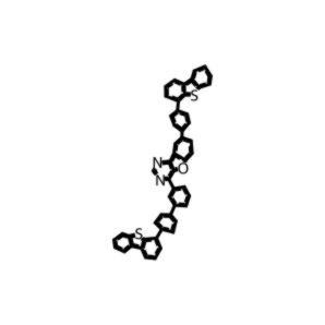 c1cc(-c2ccc(-c3cccc4c3sc3ccccc34)cc2)cc(-c2ncnc3c2oc2ccc(-c4ccc(-c5cccc6c5sc5ccccc56)cc4)cc23)c1